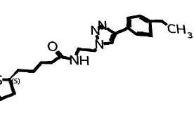 CCc1ccc(-c2cn(CCNC(=O)CCCC[C@H]3CCSS3)nn2)cc1